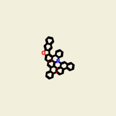 C1=CC(c2cccc3oc4cc5ccccc5cc4c23)C(N(c2cccc3c2ccc2ccccc23)c2cc3ccccc3c3ccccc23)C=C1